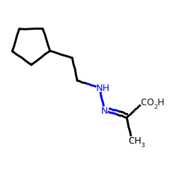 C/C(=N/NCCC1CCCC1)C(=O)O